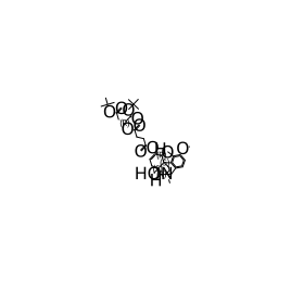 COc1ccc2c3c1O[C@H]1C(OC(=O)CCC(=O)O[C@H](CC(=O)OC(C)(C)C)C(=O)OC(C)(C)C)=CC[C@@]4(O)[C@@H](C2)N(C)CC[C@]314